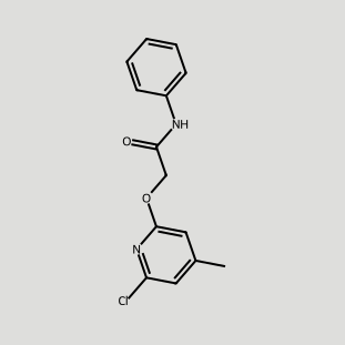 Cc1cc(Cl)nc(OCC(=O)Nc2ccccc2)c1